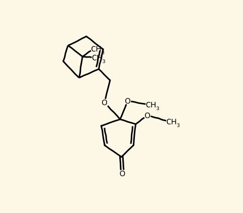 COC1=CC(=O)C=CC1(OC)OCC1=CCC2CC1C2(C)C